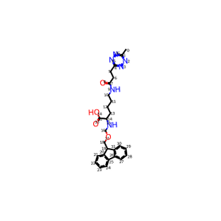 Cc1nnc(CCC(=O)NCCCCC(NCOCC2c3ccccc3-c3ccccc32)C(=O)O)nn1